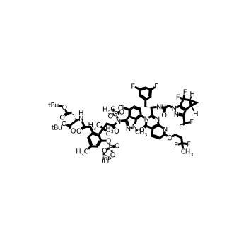 Cc1cc(CC(=O)N[C@@H](CC(=O)OC(C)(C)C)C(=O)OC(C)(C)C)c(C(C)(C)CC(=O)N(c2nn(C)c3c(-n4c([C@H](Cc5cc(F)cc(F)c5)NC(=O)Cn5nc(C(F)F)c6c5C(F)(F)[C@@H]5C[C@H]65)nc5nc(OCCC(C)(F)F)ccc5c4=O)ccc(Cl)c23)S(C)(=O)=O)c(OP(=O)(OC(C)C)OC(C)C)c1